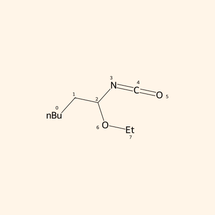 CCCCCC(N=C=O)OCC